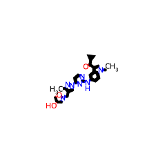 CCn1cc(C(=O)C2CC2)c2cc(Nc3nccc(-n4cc(CN5CC(O)CO5)c(C)n4)n3)ccc21